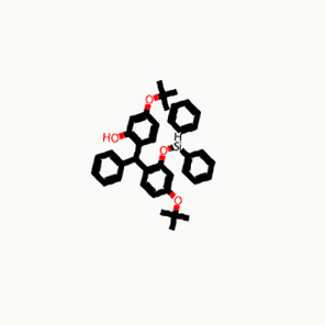 CC(C)(C)Oc1ccc(C(c2ccccc2)c2ccc(OC(C)(C)C)cc2O[SiH](c2ccccc2)c2ccccc2)c(O)c1